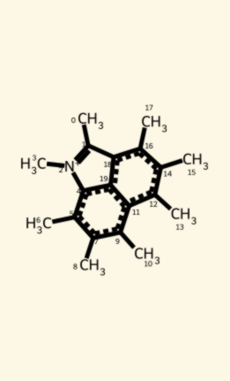 CC1=[N+](C)c2c(C)c(C)c(C)c3c(C)c(C)c(C)c1c23